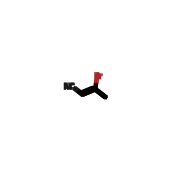 C/C(Br)=C/C#N